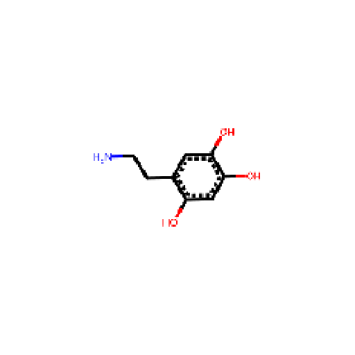 NCCc1cc(O)c(O)cc1O